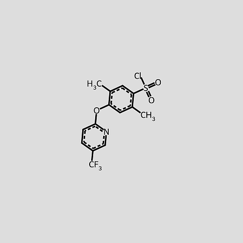 Cc1cc(S(=O)(=O)Cl)c(C)cc1Oc1ccc(C(F)(F)F)cn1